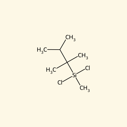 CC(C)C(C)(C)[Si](C)(Cl)Cl